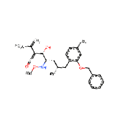 C=C(C(=O)O)C(=C=O)[C@H](O)[C@H](C[C@H](Cc1ccc(C(C)(C)C)cc1OCc1ccccc1)C(C)C)NOC(C)(C)C